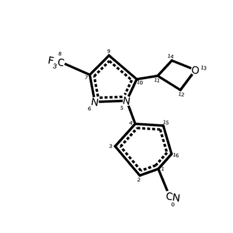 N#Cc1ccc(-n2nc(C(F)(F)F)cc2C2COC2)cc1